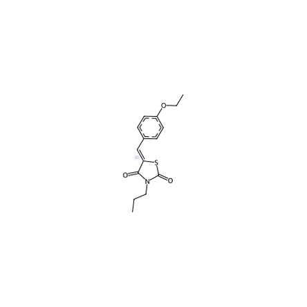 CCCN1C(=O)S/C(=C\c2ccc(OCC)cc2)C1=O